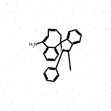 CC1=CC2c3ccccc3C3(C/C=C\C=C(/N)c4ccccc43)N2C=C1c1ccccc1